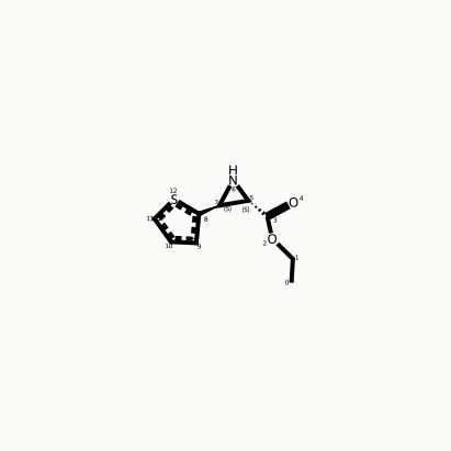 CCOC(=O)[C@H]1N[C@@H]1c1cccs1